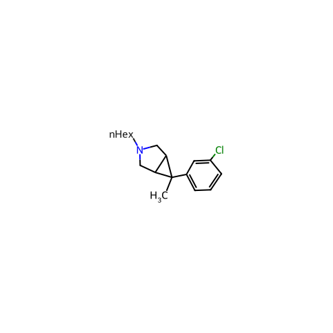 CCCCCCN1CC2C(C1)C2(C)c1cccc(Cl)c1